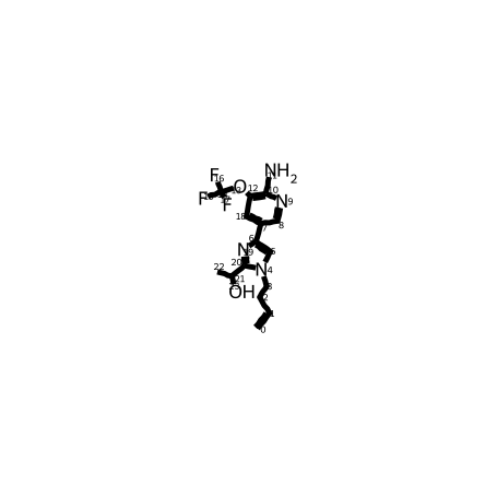 C=CCCn1cc(-c2cnc(N)c(OC(F)(F)F)c2)nc1C(C)O